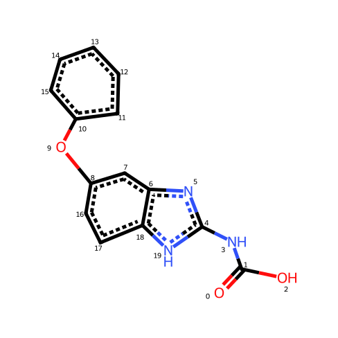 O=C(O)Nc1nc2cc(Oc3ccccc3)ccc2[nH]1